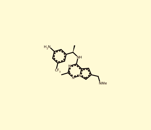 CNCc1cc2c(N[C@H](C)c3cc(N)cc(C(F)(F)F)c3)nc(C)nn2c1